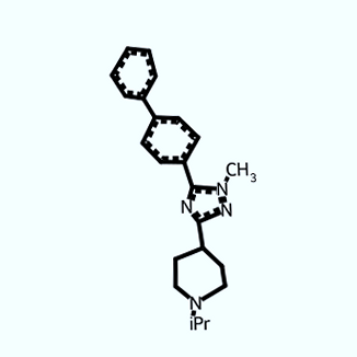 CC(C)N1CCC(c2nc(-c3ccc(-c4ccccc4)cc3)n(C)n2)CC1